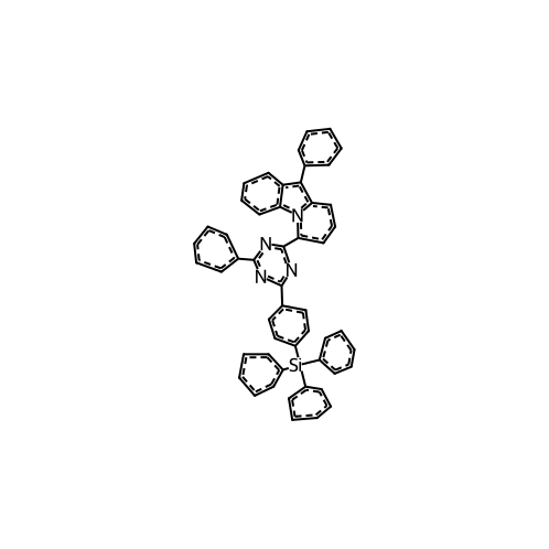 c1ccc(-c2nc(-c3ccc([Si](c4ccccc4)(c4ccccc4)c4ccccc4)cc3)nc(-c3cccc4c(-c5ccccc5)c5ccccc5n34)n2)cc1